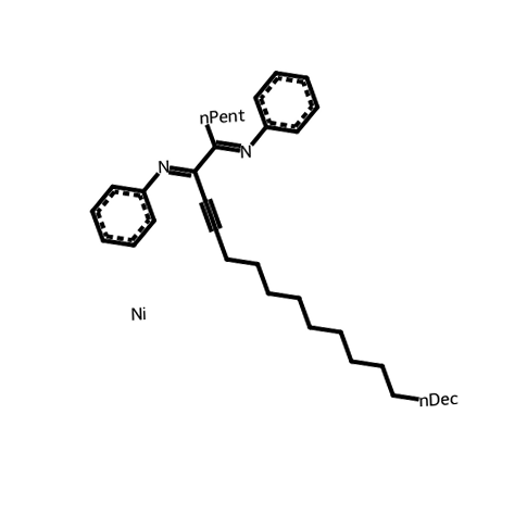 CCCCCCCCCCCCCCCCCCCC#CC(=N\c1ccccc1)/C(CCCCC)=N/c1ccccc1.[Ni]